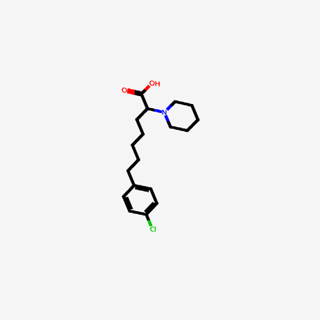 O=C(O)C(CCCCCc1ccc(Cl)cc1)N1CCCCC1